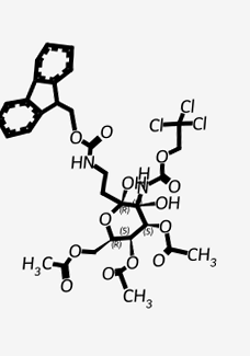 CC(=O)OC[C@H]1O[C@](O)(CCNC(=O)OCC2c3ccccc3-c3ccccc32)[C@](O)(NC(=O)OCC(Cl)(Cl)Cl)[C@@H](OC(C)=O)[C@H]1OC(C)=O